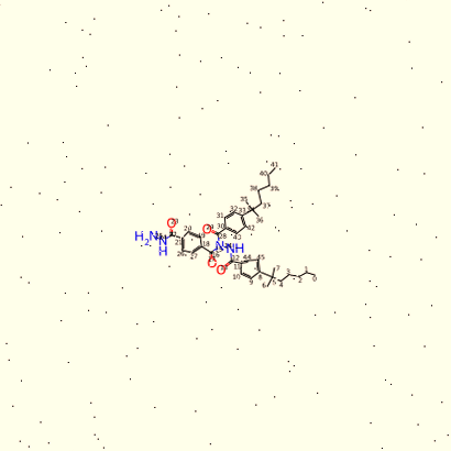 CCCCCC(C)(C)c1ccc(C(=O)NN(C(=O)c2ccc(C(=O)NN)cc2)C(=O)c2ccc(C(C)(C)CCCCC)cc2)cc1